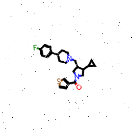 O=C(c1ccsc1)N1CC(CN2CCC(c3ccc(F)cc3)CC2)C(C2CC2)C1